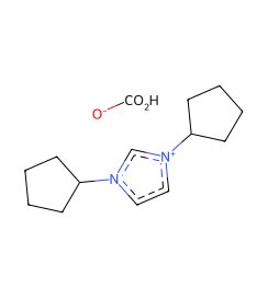 O=C([O-])O.c1c[n+](C2CCCC2)cn1C1CCCC1